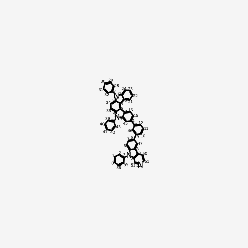 c1ccc(-n2c3ccc(-c4cccc(-c5ccc6c7c8c9ccccc9n(-c9ccccc9)c8ccc7n(-c7ccccc7)c6c5)c4)cc3c3ccncc32)cc1